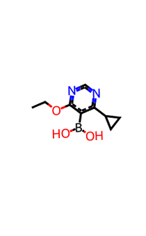 CCOc1ncnc(C2CC2)c1B(O)O